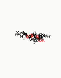 COc1ccc([C@@H](O)[C@@H](C)Oc2ccc(C3OC(c4ccc(O[C@H](C)[C@H](O)c5ccc(OC)c(OC)c5)c(OC)c4)C[C@H]3C)cc2OC)cc1C